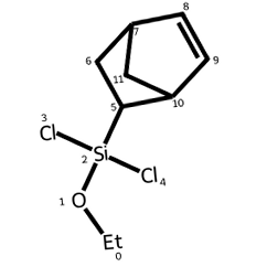 CCO[Si](Cl)(Cl)C1CC2C=CC1C2